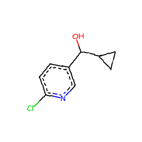 OC(c1ccc(Cl)nc1)C1CC1